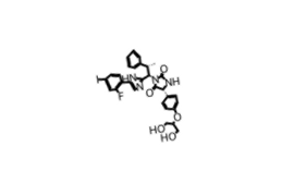 C[C@@H](c1ccccc1)[C@@H](c1ncc(-c2ccc(I)cc2F)[nH]1)N1C(=O)N[C@H](c2ccc(OC(CO)CO)cc2)C1=O